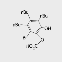 CCCCc1c(O)c(OC(=O)O)c(Br)c(CCCC)c1CCCC